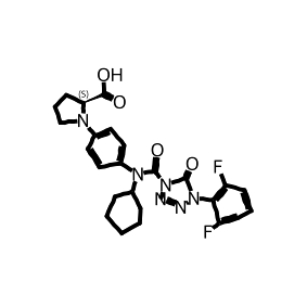 O=C(O)[C@@H]1CCCN1c1ccc(N(C(=O)n2nnn(-c3c(F)cccc3F)c2=O)C2CCCCC2)cc1